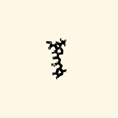 COC(=O)c1nc(C(F)(F)F)n2c1[C@H](C)N(C(=O)C[C@H](N)Cc1cc(F)c(F)cc1F)CC2